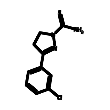 NC(=S)N1CCC(c2cccc(Cl)c2)=N1